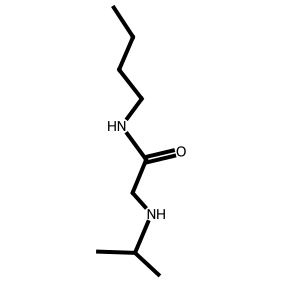 CCCCNC(=O)CNC(C)C